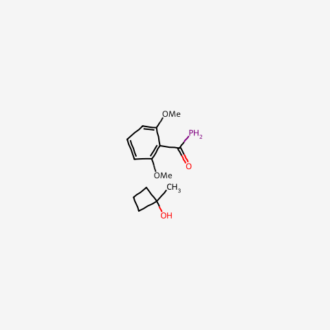 CC1(O)CCC1.COc1cccc(OC)c1C(=O)P